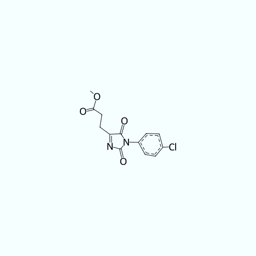 COC(=O)CCC1=NC(=O)N(c2ccc(Cl)cc2)C1=O